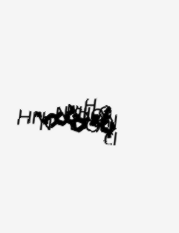 CNc1cc2nc(NC)c(-c3cccc(NS(=O)(=O)c4cc(Cl)cnc4OC)c3Cl)cc2cn1